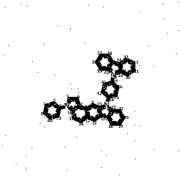 c1ccc(-n2ccc3c4cc5c(cc4ccc32)c2ccccc2n5-c2ccc(-n3c4ccccc4c4ccccc43)cc2)cc1